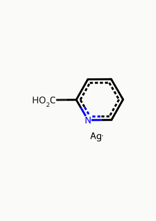 O=C(O)c1ccccn1.[Ag]